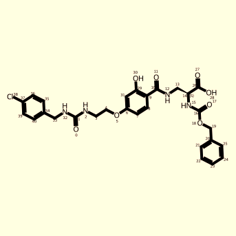 O=C(NCCOc1ccc(C(=O)NC[C@H](NC(=O)OCc2ccccc2)C(=O)O)c(O)c1)NCc1ccc(Cl)cc1